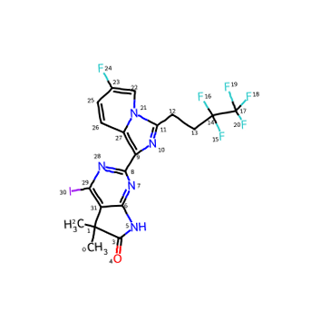 CC1(C)C(=O)Nc2nc(-c3nc(CCC(F)(F)C(F)(F)F)n4cc(F)ccc34)nc(I)c21